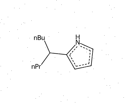 CCCCC(CCC)c1ccc[nH]1